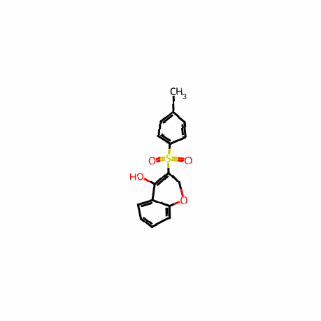 Cc1ccc(S(=O)(=O)C2=C(O)c3ccccc3OC2)cc1